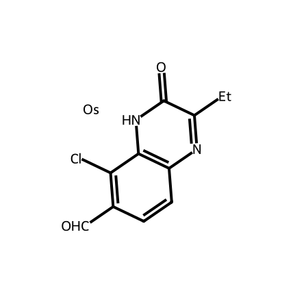 CCc1nc2ccc(C=O)c(Cl)c2[nH]c1=O.[Os]